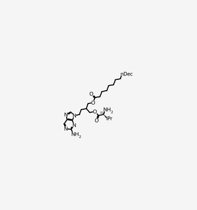 CCCCCCCCCCCCCCCCCC(=O)OCC(CCn1cnc2cnc(N)nc21)COC(=O)[C@@H](N)C(C)C